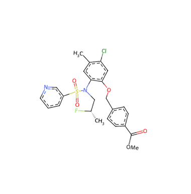 COC(=O)c1ccc(COc2cc(Cl)c(C)cc2N(C[C@H](C)F)S(=O)(=O)c2cccnc2)cc1